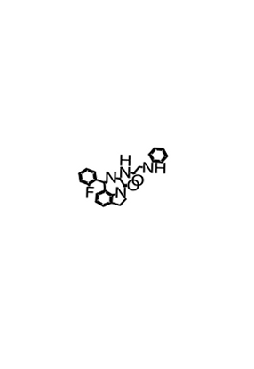 O=C(CNc1ccccc1)NC1N=C(c2ccccc2F)c2cccc3c2N(CC3)C1=O